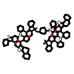 CC1(C)c2ccccc2-c2c(-c3ccccc3N(c3ccc4c(c3)c3ccccc3n4-c3ccc(CC4(C)c5ccccc5-c5c(-c6ccccc6N(c6ccc7c(c6)sc6ccccc67)c6ccccc6-c6cccc7oc8c9ccccc9ccc8c67)cccc54)cc3)c3ccccc3-c3cccc4oc5c6ccccc6ccc5c34)cccc21